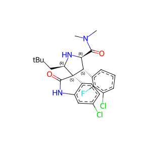 CN(C)C(=O)[C@@H]1N[C@H](CC(C)(C)C)[C@]2(C(=O)Nc3cc(Cl)ccc32)[C@H]1c1cccc(Cl)c1F